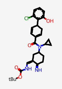 CC(C)(C)OC(=O)N/C=C1/CC(N(C(=O)C2=CCC(c3c(O)cccc3Cl)C=C2)C2CC2)CCC1=N